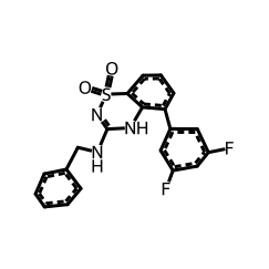 O=S1(=O)N=C(NCc2ccccc2)Nc2c(-c3cc(F)cc(F)c3)cccc21